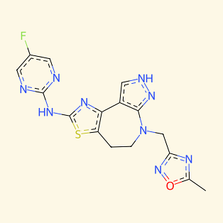 Cc1nc(CN2CCc3sc(Nc4ncc(F)cn4)nc3-c3c[nH]nc32)no1